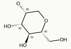 [O][C@@H]1CO[C@H](CO)[C@@H](O)[C@@H]1O